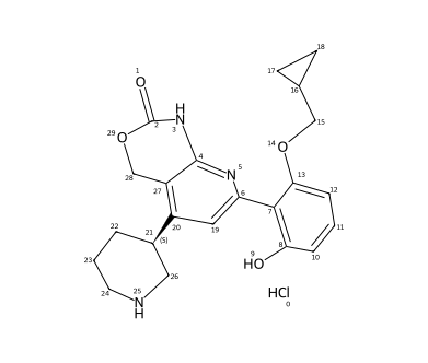 Cl.O=C1Nc2nc(-c3c(O)cccc3OCC3CC3)cc([C@@H]3CCCNC3)c2CO1